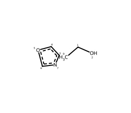 CCO.c1cocn1